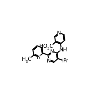 Cc1cccc(-c2ncc(C(C)C)c(Nc3ccncc3C(=O)O)n2)n1